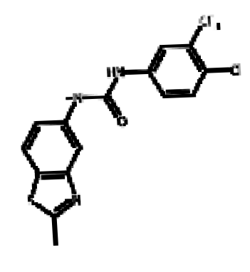 Cc1nc2cc(NC(=O)Nc3ccc(Cl)c(C(F)(F)F)c3)ccc2s1